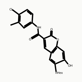 CCCCCCc1cc2cc(C(=O)Nc3ccc(Cl)c(C)c3)c(=O)oc2cc1O